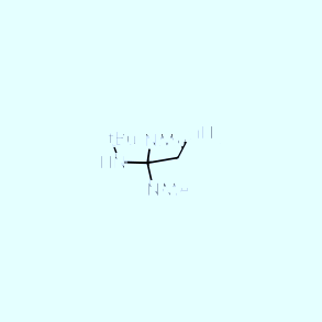 CNC(C[SiH3])(NC)NC(C)(C)C